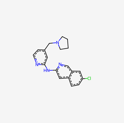 Clc1ccc2cc(Nc3cc(CN4CCCC4)ccn3)ncc2c1